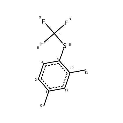 Cc1ccc(SC(F)(F)F)c(C)c1